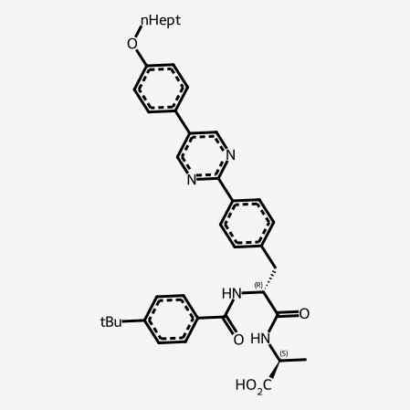 CCCCCCCOc1ccc(-c2cnc(-c3ccc(C[C@@H](NC(=O)c4ccc(C(C)(C)C)cc4)C(=O)N[C@@H](C)C(=O)O)cc3)nc2)cc1